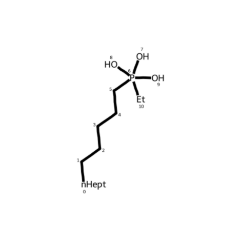 CCCCCCCCCCCCP(O)(O)(O)CC